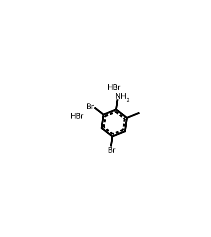 Br.Br.Cc1cc(Br)cc(Br)c1N